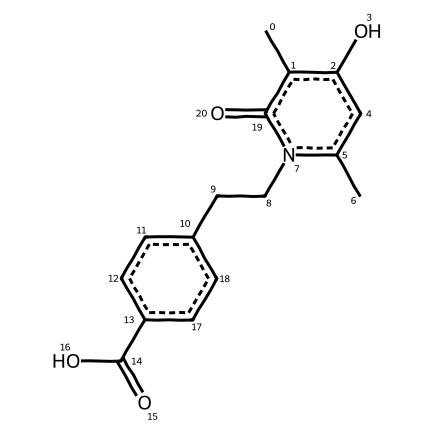 Cc1c(O)cc(C)n(CCc2ccc(C(=O)O)cc2)c1=O